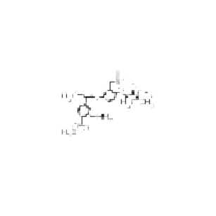 CCC(CCc1ccc(OCC(=O)C(C)(C)C)c(CN)c1)c1ccc(C(=O)OC)c(CN)c1